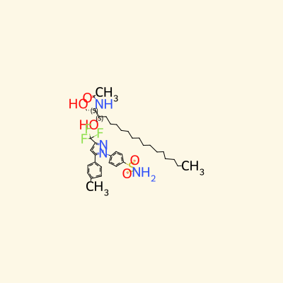 CCCCCCCCCCCCCCC[C@H](O)[C@H](CO)NC(C)=O.Cc1ccc(-c2cc(C(F)(F)F)nn2-c2ccc(S(N)(=O)=O)cc2)cc1